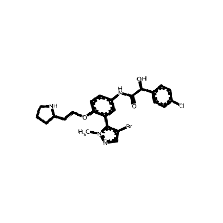 Cn1ncc(Br)c1-c1cc(NC(=O)C(O)c2ccc(Cl)cc2)ccc1OCCC1CCCN1